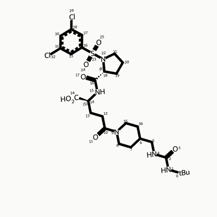 CC(C)(C)NC(=O)NCC1CCN(C(=O)CC[C@H](NC(=O)[C@H]2CCCN2S(=O)(=O)c2cc(Cl)cc(Cl)c2)C(=O)O)CC1